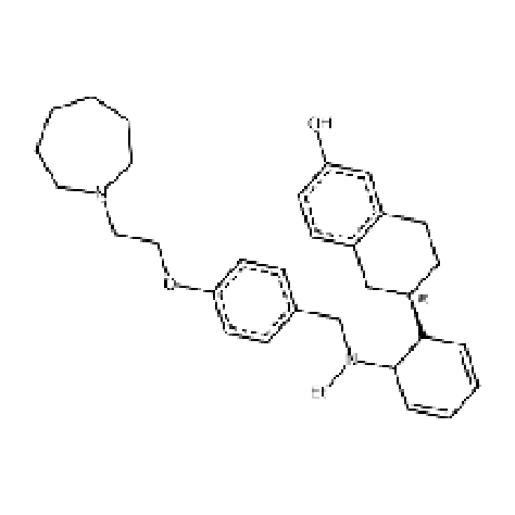 CCN(Cc1ccc(OCCN2CCCCCC2)cc1)C1C=CC=CC1[C@@H]1CCc2cc(O)ccc2C1